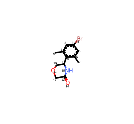 Cc1cc(Br)cc(C)c1C1COCC(=O)N1